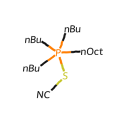 CCCCCCCCP(CCCC)(CCCC)(CCCC)SC#N